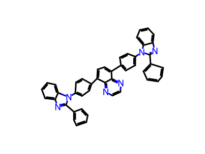 c1ccc(-c2nc3ccccc3n2-c2ccc(-c3ccc(-c4ccc(-n5c(-c6ccccc6)nc6ccccc65)cc4)c4nccnc34)cc2)cc1